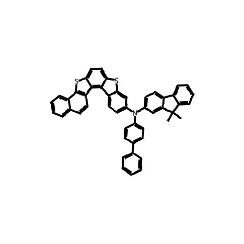 CC1(C)c2ccccc2-c2ccc(N(c3ccc(-c4ccccc4)cc3)c3ccc4c(c3)sc3ccc5sc6c7ccccc7ccc6c5c34)cc21